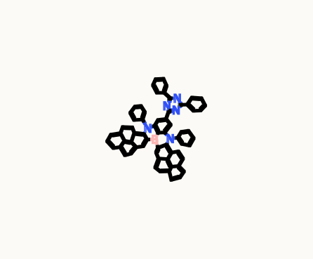 c1ccc(-c2nc(-c3ccccc3)nc(-c3cc4c5c(c3)N(c3ccccc3)c3c(cc6ccc7cccc8ccc3c6c78)B5c3cc5ccc6cccc7ccc(c3N4c3ccccc3)c5c67)n2)cc1